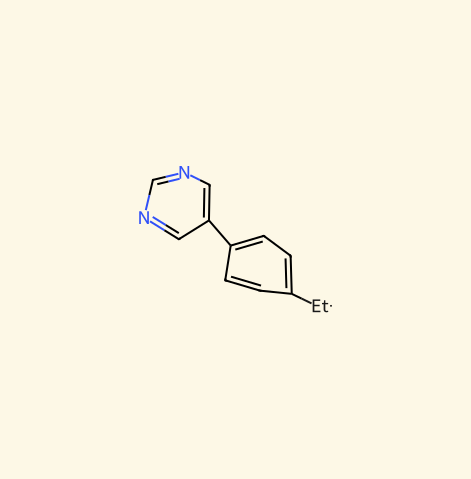 C[CH]c1ccc(-c2cncnc2)cc1